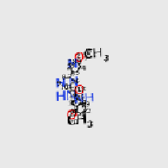 CCOc1ccc(-c2cncc(C(=O)Nc3cc4c(OC)cccc4[nH]3)n2)cn1